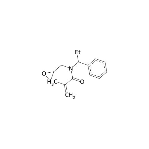 C=C(C)C(=O)N(CC1CO1)C(CC)c1ccccc1